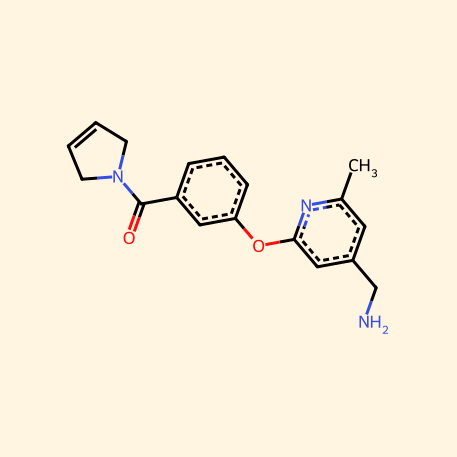 Cc1cc(CN)cc(Oc2cccc(C(=O)N3CC=CC3)c2)n1